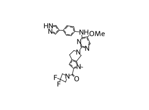 COc1cnc(N2CCc3cc(C(=O)N4CC(F)(F)C4)n(C)c3C2)nc1Nc1ccc(-c2cn[nH]c2)cc1